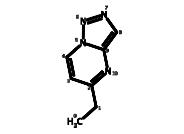 CCc1ccn2nncc2n1